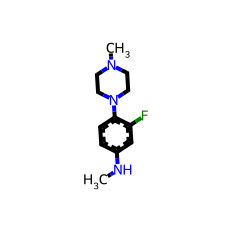 CNc1ccc(N2CCN(C)CC2)c(F)c1